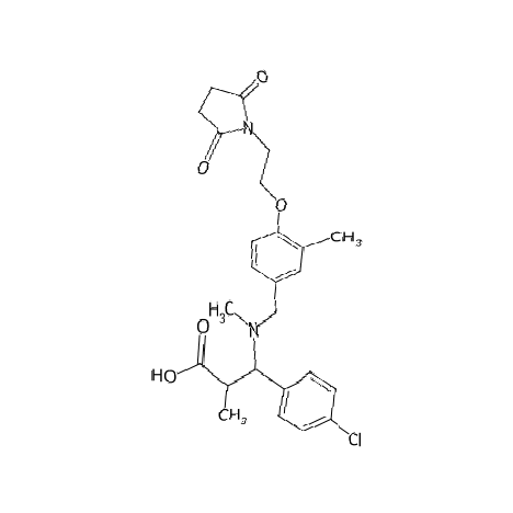 Cc1cc(CN(C)C(c2ccc(Cl)cc2)C(C)C(=O)O)ccc1OCCN1C(=O)CCC1=O